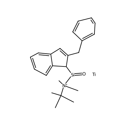 CC(C)(C)[N+](C)(C)[Si](=O)C1C(Cc2ccccc2)=Cc2ccccc21.[Ti]